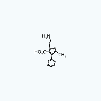 Cc1sc(CCN)c(C(=O)O)c1-c1ccccc1